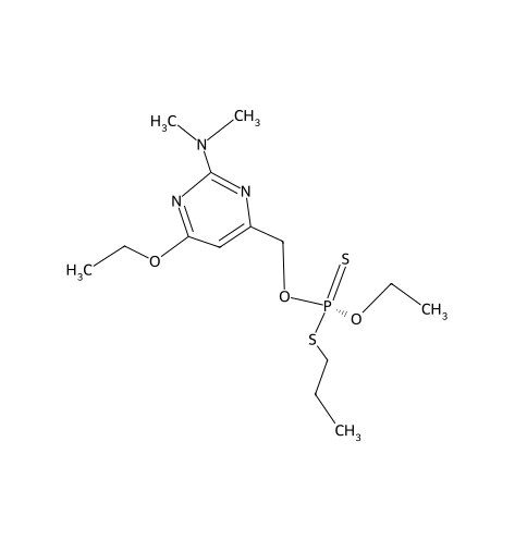 CCCS[P@@](=S)(OCC)OCc1cc(OCC)nc(N(C)C)n1